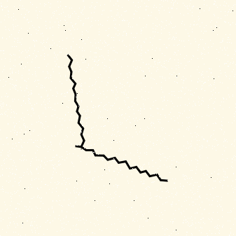 CCCCCCCCCCCCCCCC[C](C)CCCCCCCCCCCCCCCC